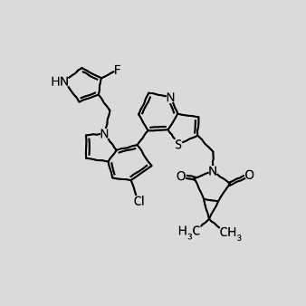 CC1(C)C2C(=O)N(Cc3cc4nccc(-c5cc(Cl)cc6ccn(Cc7c[nH]cc7F)c56)c4s3)C(=O)C21